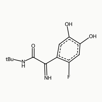 CC(C)(C)NC(=O)C(=N)c1cc(O)c(O)cc1F